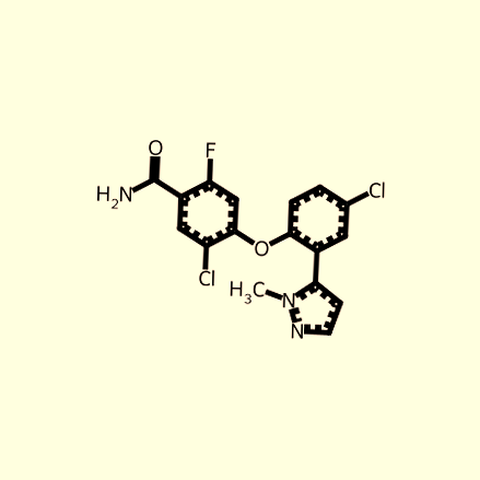 Cn1nccc1-c1cc(Cl)ccc1Oc1cc(F)c(C(N)=O)cc1Cl